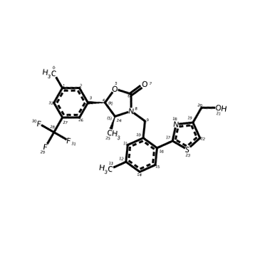 Cc1cc([C@H]2OC(=O)N(Cc3cc(C)ccc3-c3nc(CO)cs3)[C@H]2C)cc(C(F)(F)F)c1